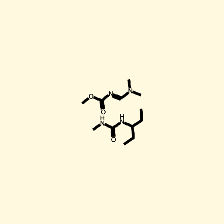 CCC(CC)NC(=O)NC.COC(=O)N=CN(C)C